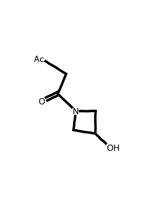 CC(=O)CC(=O)N1CC(O)C1